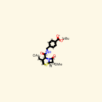 CCCCOC(=O)c1ccc(CNC(=O)C2C(COC(C)=O)=CS[C@@H]3[C@@H](OC)C(=O)N23)cc1